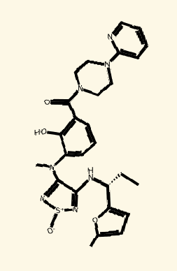 CC[C@@H](Nc1n[s+]([O-])nc1N(C)c1cccc(C(=O)N2CCN(c3ccccn3)CC2)c1O)c1ccc(C)o1